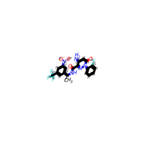 C[C@@H](NC(=O)c1nn(-c2ccccc2F)c(=O)cc1N)c1cc([N+](=O)[O-])cc(C(F)(F)F)c1